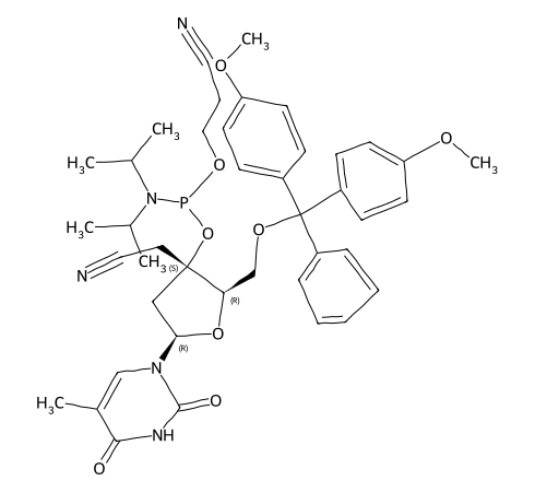 COc1ccc(C(OC[C@H]2O[C@@H](n3cc(C)c(=O)[nH]c3=O)C[C@]2(CC#N)OP(OCCC#N)N(C(C)C)C(C)C)(c2ccccc2)c2ccc(OC)cc2)cc1